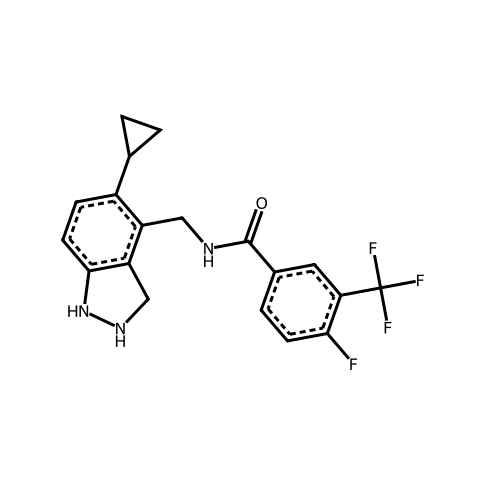 O=C(NCc1c(C2CC2)ccc2c1CNN2)c1ccc(F)c(C(F)(F)F)c1